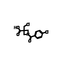 O=C(c1ccc(Cl)cc1)N1CC(CCl)(C(=O)O)C1